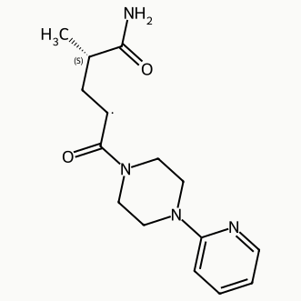 C[C@@H](C[CH]C(=O)N1CCN(c2ccccn2)CC1)C(N)=O